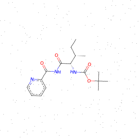 CC[C@H](C)[C@H](NC(=O)OC(C)(C)C)C(=O)NC(=O)c1ccccn1